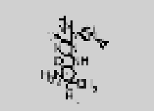 CC(C)(C)CC(Nc1cnc(C(N)=O)c(Nc2cnn(C3CC3)c2)n1)C(N)=O